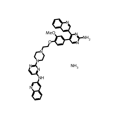 COc1cc(-c2cnc(N)nc2-c2cnc3ccccc3c2)ccc1OCCN1CCN(c2nccc(Nc3cnc4ccccc4c3)n2)CC1.N